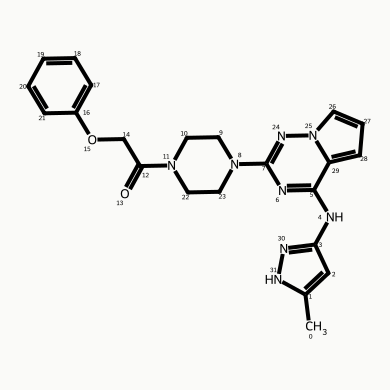 Cc1cc(Nc2nc(N3CCN(C(=O)COc4ccccc4)CC3)nn3cccc23)n[nH]1